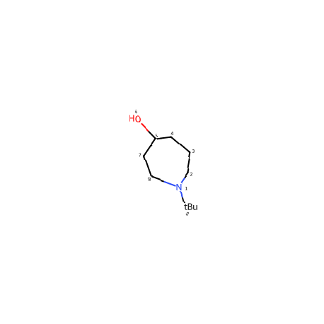 CC(C)(C)N1CCCC(O)CC1